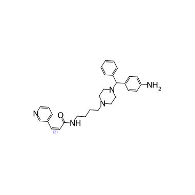 Nc1ccc(C(c2ccccc2)N2CCN(CCCCNC(=O)/C=C\c3cccnc3)CC2)cc1